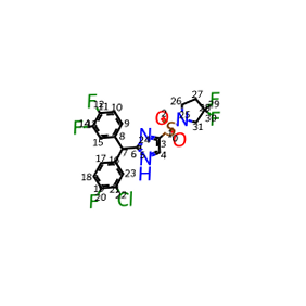 O=S(=O)(c1c[nH]c(C(c2ccc(F)c(F)c2)c2ccc(F)c(Cl)c2)n1)N1CCC(F)(F)C1